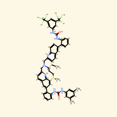 CC[C@H](CCSC)N(Cc1ccc2cc(-c3ccccc3NC(=O)Nc3cc(C)cc(C)c3)ccc2n1)Cc1ccc2cc(-c3ccccc3NC(=O)Nc3cc(C(F)(F)F)cc(C(F)(F)F)c3)ccc2n1